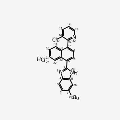 CC(C)(C)c1ccc2nc(-c3ccc(-c4ncccc4Cl)c4ccccc34)[nH]c2c1.Cl